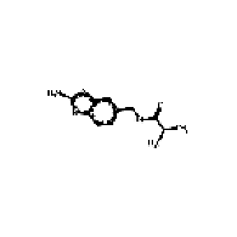 CC(C)C(=O)NCc1ccc2nc(N)sc2c1